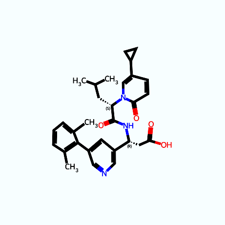 Cc1cccc(C)c1-c1cncc([C@@H](CC(=O)O)NC(=O)[C@H](CC(C)C)n2cc(C3CC3)ccc2=O)c1